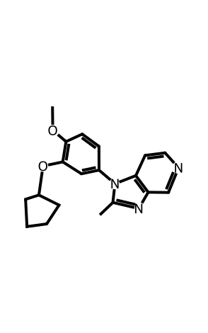 COc1ccc(-n2c(C)nc3cnccc32)cc1OC1CCCC1